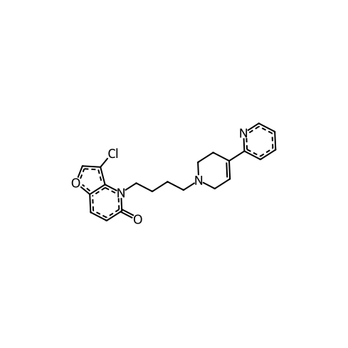 O=c1ccc2occ(Cl)c2n1CCCCN1CC=C(c2ccccn2)CC1